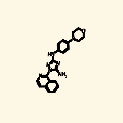 Nc1nc(Nc2ccc(N3CCOCC3)cc2)nn1-c1nccc2ccccc12